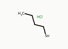 CCC[CH2][Sn].Cl